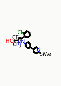 CSc1ccc(-c2ccc(N3N=C(C(O)(C(F)(F)F)C(F)(F)F)CC3c3ccccc3Cl)cc2)cn1